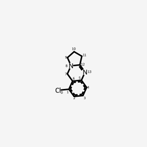 Clc1cccc2c1CN1CCCC1=N2